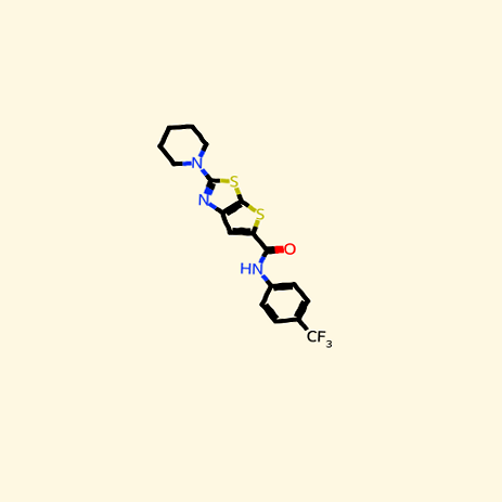 O=C(Nc1ccc(C(F)(F)F)cc1)c1cc2nc(N3CCCCC3)sc2s1